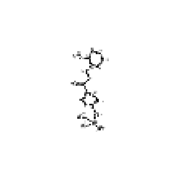 CC(C)[Si](Oc1ccc(C(=O)CSc2ccccc2O)cc1)(C(C)C)C(C)C